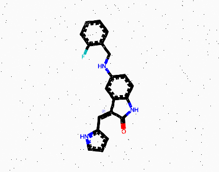 O=C1Nc2ccc(NCc3ccccc3F)cc2/C1=C/c1ccc[nH]1